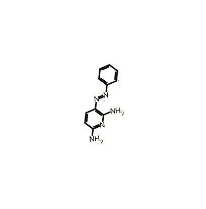 Nc1ccc(/N=N/c2[c]cccc2)c(N)n1